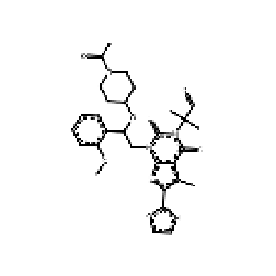 COc1ccccc1C(Cn1c(=O)n(C(C)(C)C=O)c(=O)c2c(C)c(-c3ncco3)sc21)OC1CCN(C(C)=O)CC1